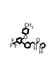 Cc1ccc(Oc2ccc(C(F)(F)F)cc2-c2cccc(CNC(=O)[C@@H]3CCCN3)c2)cc1